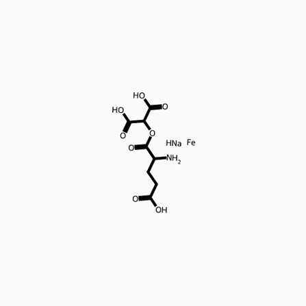 NC(CCC(=O)O)C(=O)OC(C(=O)O)C(=O)O.[Fe].[NaH]